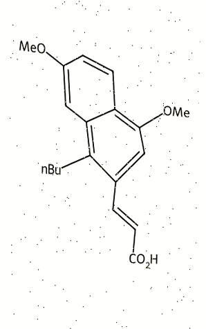 CCCCc1c(C=CC(=O)O)cc(OC)c2ccc(OC)cc12